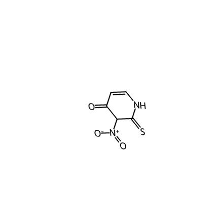 O=C1C=CNC(=S)C1[N+](=O)[O-]